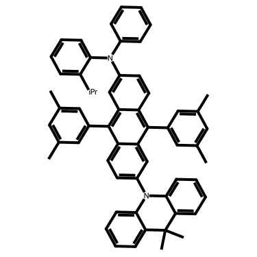 Cc1cc(C)cc(-c2c3ccc(N4c5ccccc5C(C)(C)c5ccccc54)cc3c(-c3cc(C)cc(C)c3)c3ccc(N(c4ccccc4)c4ccccc4C(C)C)cc23)c1